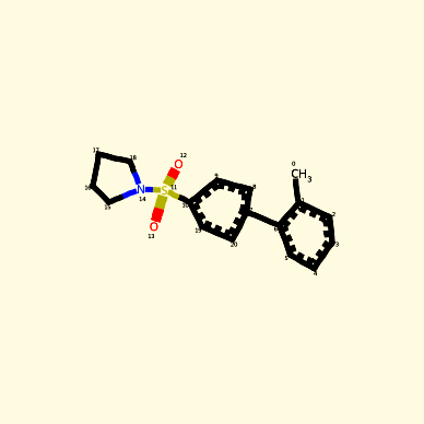 Cc1ccccc1-c1ccc(S(=O)(=O)N2CCCC2)cc1